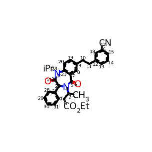 CCOC(=O)CC(C)N1C(=O)c2cc(CCc3cccc(C#N)c3)ccc2N(C(C)C)C(=O)C1c1ccccc1